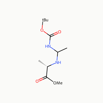 COC(=O)[C@H](C)NC(C)NC(=O)OC(C)(C)C